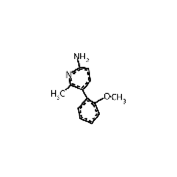 COc1ccccc1-c1ccc(N)nc1C